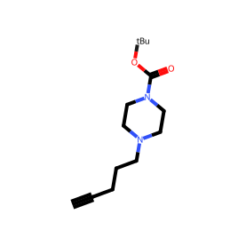 C#CCCCN1CCN(C(=O)OC(C)(C)C)CC1